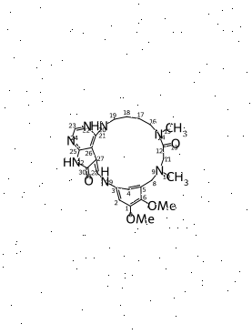 COc1cc2cc(c1OC)CN(C)CC(=O)N(C)CCCCNc1ncnc3c1/C(=C/N2)C(=O)N3